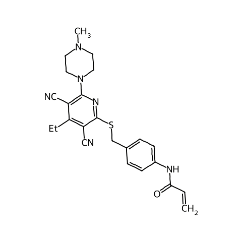 C=CC(=O)Nc1ccc(CSc2nc(N3CCN(C)CC3)c(C#N)c(CC)c2C#N)cc1